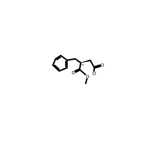 COC(=O)[C@H](CC(=O)Cl)Cc1ccccc1